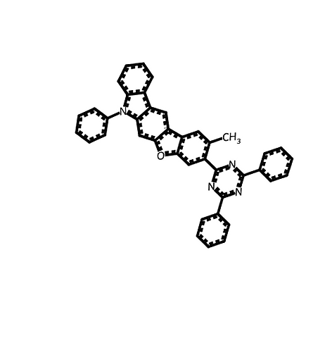 Cc1cc2c(cc1-c1nc(-c3ccccc3)nc(-c3ccccc3)n1)oc1cc3c(cc12)c1ccccc1n3-c1ccccc1